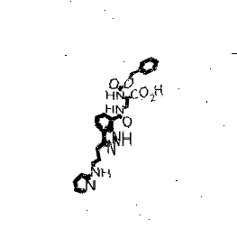 O=C(NC(CNC(=O)c1cccc2c(CCCNc3ccccn3)n[nH]c12)C(=O)O)OCc1ccccc1